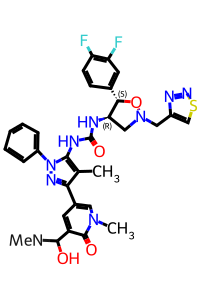 CNC(O)c1cc(-c2nn(-c3ccccc3)c(NC(=O)N[C@@H]3CN(Cc4csnn4)O[C@H]3c3ccc(F)c(F)c3)c2C)cn(C)c1=O